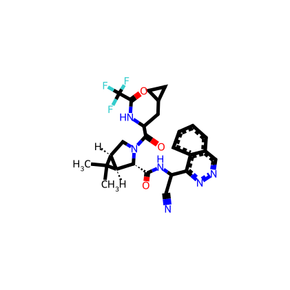 CC1(C)[C@@H]2[C@@H](C(=O)NC(C#N)c3nncc4ccccc34)N(C(=O)C(CC3CC3)NC(=O)C(F)(F)F)C[C@@H]21